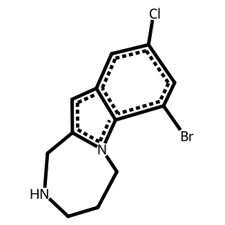 Clc1cc(Br)c2c(c1)cc1n2CCCNC1